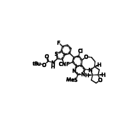 CSc1nc2c3c(c(Cl)c(-c4ccc(F)c5sc(NC(=O)OC(C)(C)C)c(C#N)c45)c(F)c3n1)OCC[C@@H]1C[C@@H]3OCC[C@@H]3N21